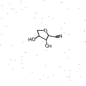 N#CC1OCC(O)C1O